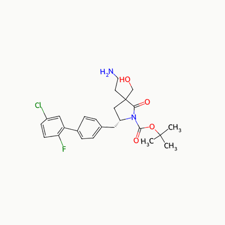 CC(C)(C)OC(=O)N1C(=O)C(CO)(CCN)C[C@H]1Cc1ccc(-c2cc(Cl)ccc2F)cc1